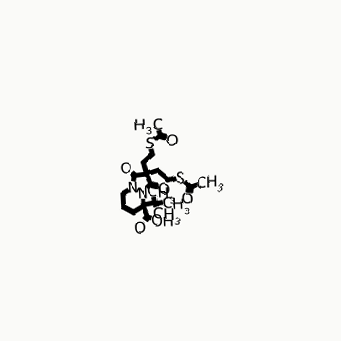 CC(=O)SCCC1(CCSC(C)=O)C(=O)N2CCCC(C(=O)O)(C(C)(C)C)N2C1=O